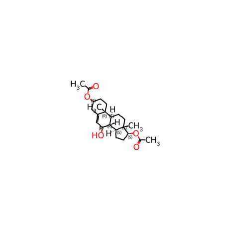 CC(=O)O[C@H]1CC[C@@]2(C)C(=C[C@H](O)[C@H]3[C@@H]4CC[C@H](OC(C)=O)[C@@]4(C)CC[C@@H]32)C1